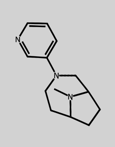 CN1C2CCC1CN(c1cccnc1)CC2